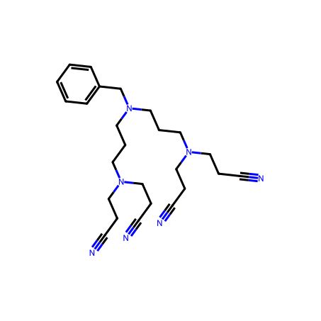 N#CCCN(CCC#N)CCCN(CCCN(CCC#N)CCC#N)Cc1ccccc1